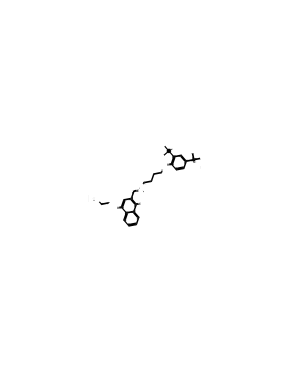 CCC(C)(C)c1ccc(OCCCCNC(=O)c2cc(OCCBr)c3ccccc3c2O)c(C(C)(C)CC)c1